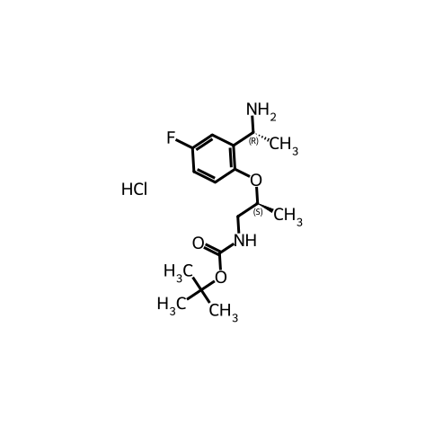 C[C@@H](CNC(=O)OC(C)(C)C)Oc1ccc(F)cc1[C@@H](C)N.Cl